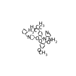 COc1ccc(C(=O)N(C(=O)c2ccc(C(C)(C)C)cc2OC2CCN(Cc3ccccc3)CC2)c2cnccc2N)cc1